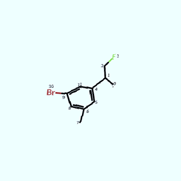 [CH2]C(CF)c1cc(C)cc(Br)c1